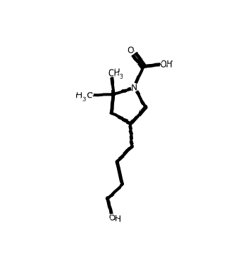 CC1(C)CC(CCCCO)CN1C(=O)O